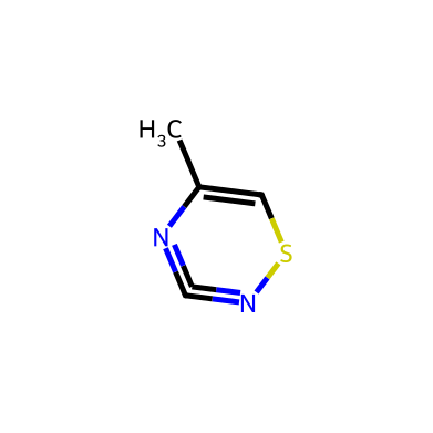 CC1=CSN=C=N1